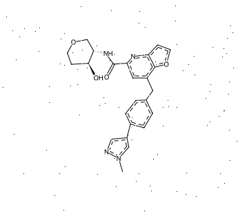 Cn1cc(-c2ccc(Cc3cc(C(=O)N[C@H]4COCC[C@@H]4O)nc4ccoc34)cc2)cn1